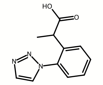 CC(C(=O)O)c1ccccc1-n1ccnn1